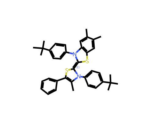 CC1=C(c2ccccc2)S/C(=C2/Sc3cc(C)c(C)cc3N2c2ccc(C(C)(C)C)cc2)N1c1ccc(C(C)(C)C)cc1